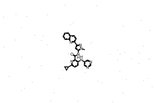 Cn1nc(-c2ccc3ccccc3n2)cc1NC(=O)c1nc(C2CC2)ccc1Nc1cncnc1